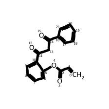 C=CC(=O)Oc1ccccc1C(=O)CC(=O)c1ccccc1